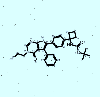 CC(C)(C)OC(=O)NC1(c2ccc(-c3oc4ncn(CCF)c(=O)c4c3-c3ccccc3)cc2)CCC1